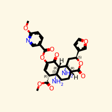 COC(=O)[C@@H]1C=C(OC(=O)c2ccc(OC)nc2)C(=O)[C@H]2[C@@]1(N)CC[C@H]1C(=O)O[C@H](c3ccoc3)C[C@]21N